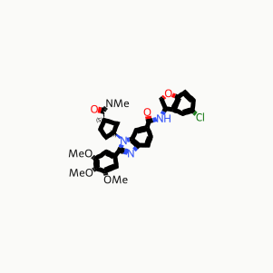 CNC(=O)[C@H]1CC[C@H](n2c(-c3cc(OC)c(OC)c(OC)c3)nc3ccc(C(=O)NC4COc5ccc(Cl)cc54)cc32)C1